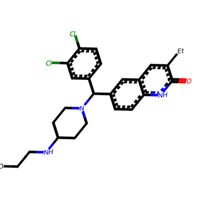 CCc1cc2cc(C(c3ccc(Cl)c(Cl)c3)N3CCC(NCCOC)CC3)ccc2[nH]c1=O